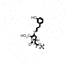 C[C@H](O[Si](C)(C)C)[C@@H]1C(=O)N2C(C(=O)O)=C(SC=CCc3cccc(O)c3)C[C@H]12